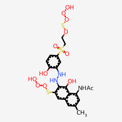 CC(=O)Nc1cc(C)cc2cc(SOOO)c(NNc3cc(S(=O)(=O)CCOSOOO)ccc3O)c(O)c12